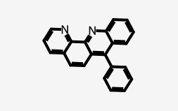 c1ccc(-c2c3ccccc3nc3c2ccc2cccnc23)cc1